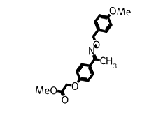 COC(=O)COc1ccc(C(C)=NOCc2ccc(OC)cc2)cc1